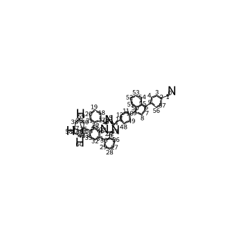 N#Cc1ccc(-c2ccc(-c3ccc(-c4nc(-c5ccccc5)nc(-c5ccccc5-c5ccc(C67C[C@H]8C[C@@H](C6)C[C@@H](C7)C8)cc5)n4)cc3)c3ccccc23)cc1